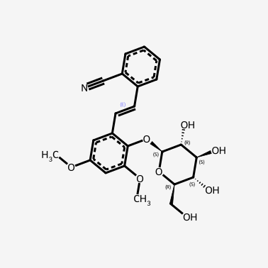 COc1cc(/C=C/c2ccccc2C#N)c(O[C@@H]2O[C@H](CO)[C@@H](O)[C@H](O)[C@H]2O)c(OC)c1